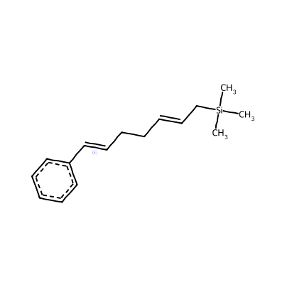 C[Si](C)(C)CC=CCC/C=C/c1ccccc1